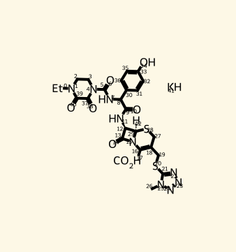 CCN1CCN(C(=O)NC(C(=O)N[C@@H]2C(=O)N3C(C(=O)O)=C(CSc4nnnn4C)CS[C@H]23)c2ccc(O)cc2)C(=O)C1=O.[KH]